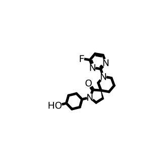 O=C1N(C2CCC(O)CC2)CC[C@@]12CCCN(c1nccc(F)n1)C2